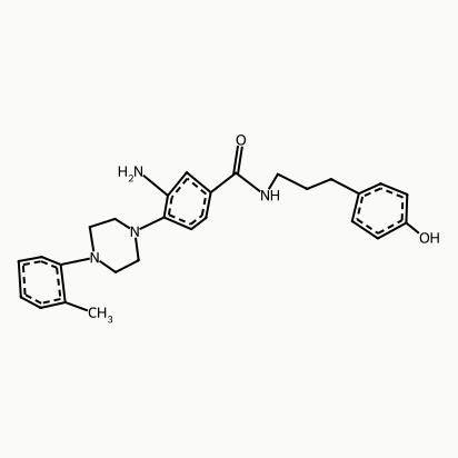 Cc1ccccc1N1CCN(c2ccc(C(=O)NCCCc3ccc(O)cc3)cc2N)CC1